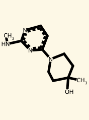 CNc1nccc(N2CCC(C)(O)CC2)n1